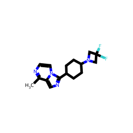 Cc1nccn2c(C3CCC(N4CC(F)(F)C4)CC3)ncc12